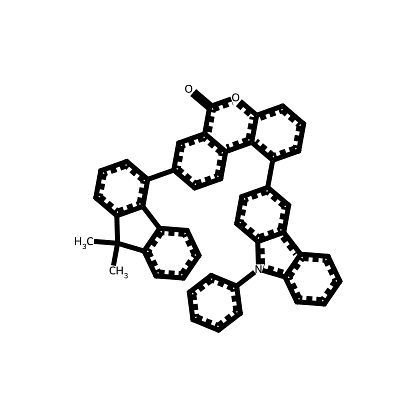 CC1(C)c2ccccc2-c2c(-c3ccc4c(c3)c(=O)oc3cccc(-c5ccc6c(c5)c5ccccc5n6-c5ccccc5)c34)cccc21